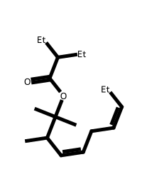 CC/C=C\C/C=C\C(C)C(C)(C)OC(=O)C(CC)CC